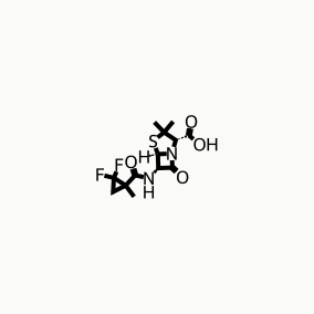 CC1(C)S[C@@H]2[C@H](NC(=O)C3(C)CC3(F)F)C(=O)N2[C@H]1C(=O)O